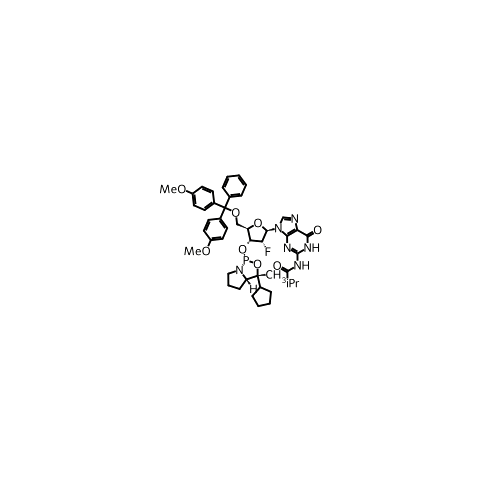 COc1ccc(C(OC[C@H]2O[C@@H](n3cnc4c(=O)[nH]c(NC(=O)C(C)C)nc43)[C@H](F)[C@@H]2O[P@]2O[C@](C)(C3CCCC3)[C@@H]3CCCN32)(c2ccccc2)c2ccc(OC)cc2)cc1